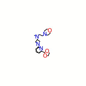 CN(CCN1CCOCC1)C1CN(c2cccc(C3OCCO3)n2)C1